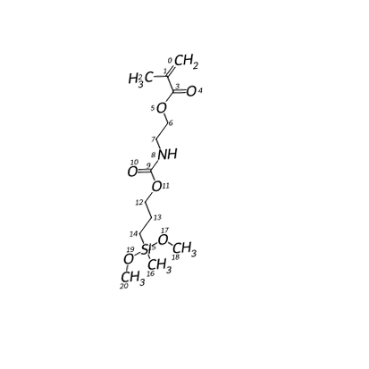 C=C(C)C(=O)OCCNC(=O)OCCC[Si](C)(OC)OC